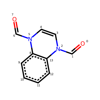 O=CN1C=CN(C=O)c2ccccc21